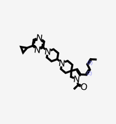 C/C=C\C=C/C1=CC2(CCN(C3CCN(c4cncc(C5CC5)n4)CC3)CC2)CN1C(C)=O